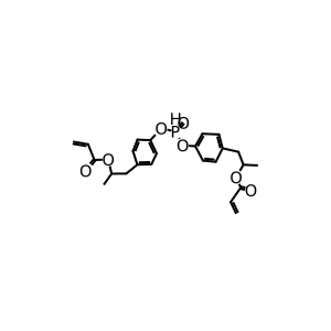 C=CC(=O)OC(C)Cc1ccc(O[PH](=O)Oc2ccc(CC(C)OC(=O)C=C)cc2)cc1